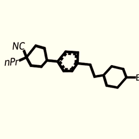 CCCC1(C#N)CCC(c2ccc(CCC3CCC(CC)CC3)cc2)CC1